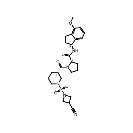 COc1cccc2c1CC[C@@H]2NC(=O)[C@H]1CCCN1C(=O)[C@H]1CCCN(S(=O)(=O)N2CC(C#N)C2)C1